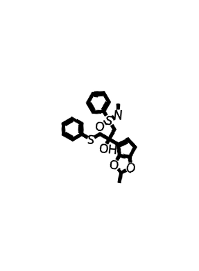 CN=S(=O)(CC(O)(CSc1ccccc1)C1=CCC2OC(C)OC12)c1ccccc1